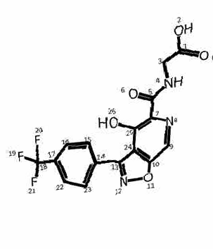 O=C(O)CNC(=O)c1ncc2onc(-c3ccc(C(F)(F)F)cc3)c2c1O